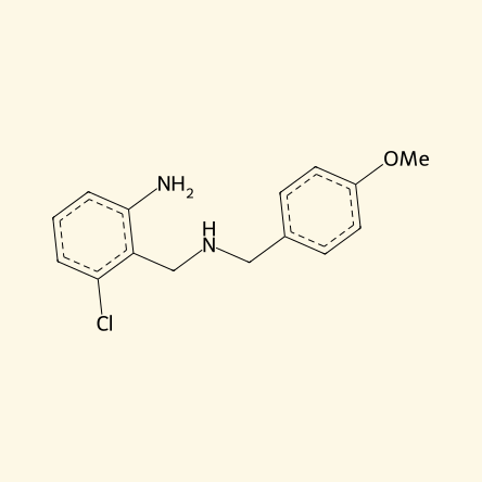 COc1ccc(CNCc2c(N)cccc2Cl)cc1